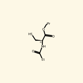 CCC(=O)N[C@@H](CS)C(=O)OC(C)C